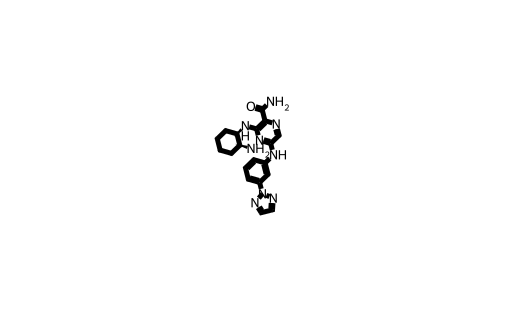 NC(=O)c1ncc(Nc2cccc(-n3nccn3)c2)nc1N[C@@H]1CCCC[C@@H]1N